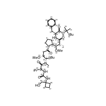 CC[C@H](C)[C@@H]([C@@H](CC(=O)N1CCC[C@H]1[C@H](OC)[C@@H](C)C(=O)N[C@@H](Cc1ccccc1)C(=O)OC(C)(C)C(C)(C)C)OC)N(C)C(=O)[C@@H](NC(=O)NC1(CO)CCC1)C(C)C